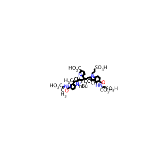 CCCC[N+]1=C(/C=C/C(=C/C=C2/N(CCCS(=O)(=O)O)c3ccc(C(=O)NC(CS(=O)(=O)O)C(=O)O)cc3C2(C)C)c2ccc(C(=O)O)cn2)C(C)(C)c2cc(C(=O)NC(C)C(=O)O)ccc21